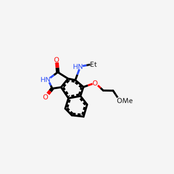 CCNc1c2c(c3ccccc3c1OCCOC)C(=O)NC2=O